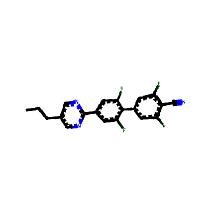 CCCc1cnc(-c2cc(F)c(-c3cc(F)c(C#N)c(F)c3)c(F)c2)nc1